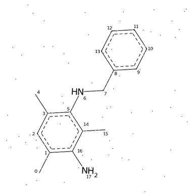 Cc1cc(C)c(NCc2ccccc2)c(C)c1N